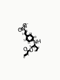 C=CC(=O)OCC(CC)Nc1ccc(C=C[N+](=O)[O-])cc1